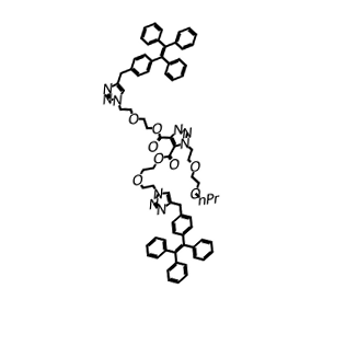 CCCOCCOCCn1nnc(C(=O)OCCOCCn2cc(Cc3ccc(C(=C(c4ccccc4)c4ccccc4)c4ccccc4)cc3)nn2)c1C(=O)OCCOCCn1cc(Cc2ccc(C(=C(c3ccccc3)c3ccccc3)c3ccccc3)cc2)nn1